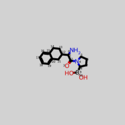 NC(C(=O)N1CCCC1B(O)O)C1CCc2ccccc2C1